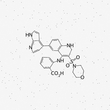 O=C(O)c1ccccc1NC1=C(S(=O)(=O)N2CCOCC2)CNc2ccc(-c3ccnc4[nH]ccc34)cc21